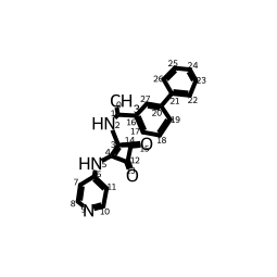 CC(Nc1c(Nc2ccncc2)c(=O)c1=O)c1cccc(-c2ccccc2)c1